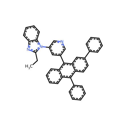 CCc1nc2ccccc2n1-c1cncc(-c2c3ccccc3c(-c3ccccc3)c3ccc(-c4ccccc4)cc23)c1